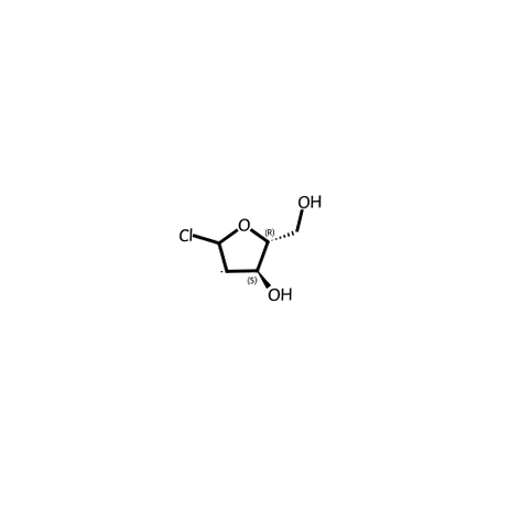 OC[C@H]1OC(Cl)[CH][C@@H]1O